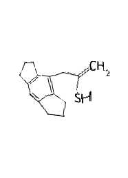 C=C(S)Cc1c2c(cc3c1CCC3)CCC2